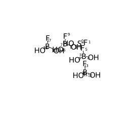 O=S(=O)(O)F.OB(O)F.OB(O)F.OB(O)F.OB(O)F